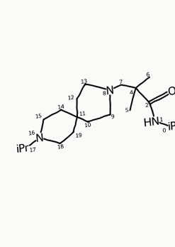 CC(C)NC(=O)C(C)(C)CN1CCC2(CC1)CCN(C(C)C)CC2